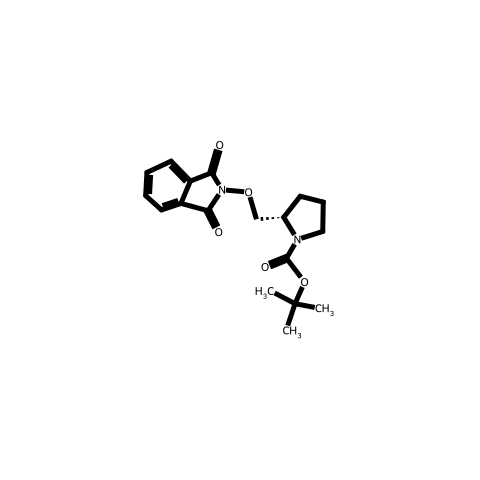 CC(C)(C)OC(=O)N1CCC[C@H]1CON1C(=O)c2ccccc2C1=O